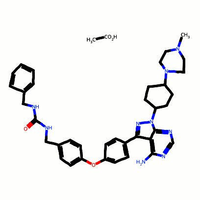 CC(=O)O.CN1CCN(C2CCC(n3nc(-c4ccc(Oc5ccc(CNC(=O)NCc6ccccc6)cc5)cc4)c4c(N)ncnc43)CC2)CC1